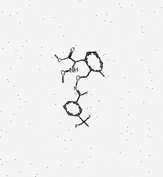 CONC(C(=O)OC)c1cccc(C)c1CO/N=C(\C)c1cccc(C(C)(F)F)c1